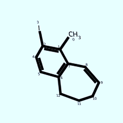 Cc1c(I)ccc2c1C=CCCC2